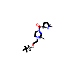 C[C@@H]1CC[C@H](C(=O)N2CCN(CCO[Si](C)(C)C(C)(C)C)[C@H](C)C2)N1